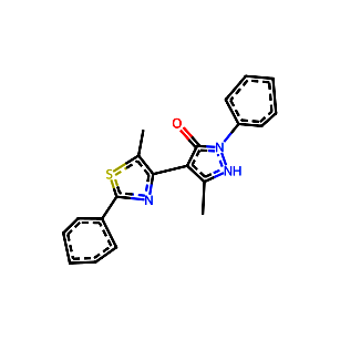 Cc1[nH]n(-c2ccccc2)c(=O)c1-c1nc(-c2ccccc2)sc1C